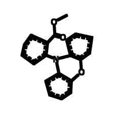 COC(=O)c1ccccc1N1c2ccccc2Oc2ccccc21